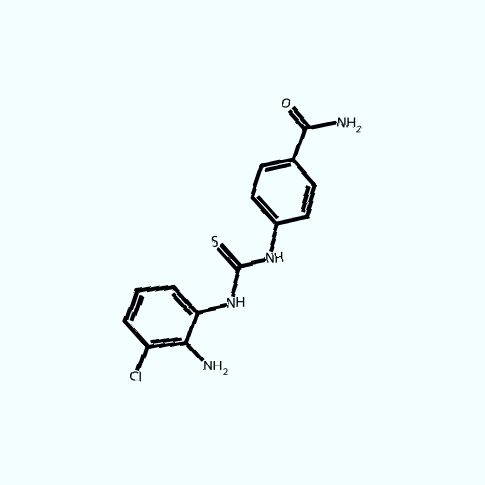 NC(=O)c1ccc(NC(=S)Nc2cccc(Cl)c2N)cc1